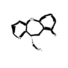 NC[C@H]1Cc2c(F)cccc2Oc2cccnc21